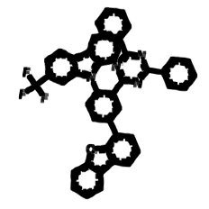 FC(F)(F)c1ccc2c3ccccc3n(-c3ccc(-c4cccc5c4oc4ccccc45)cc3-c3nc(-c4ccccc4)nc(-c4ccccc4)n3)c2c1